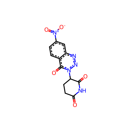 O=C1CCC(n2nnc3cc([N+](=O)[O-])ccc3c2=O)C(=O)N1